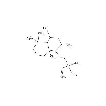 C=CC(C)(O)CCC1C(=C)CC(O)C2C(C)(C)CCCC12C